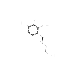 OCCN=Cc1ccc(O)c(O)c1O